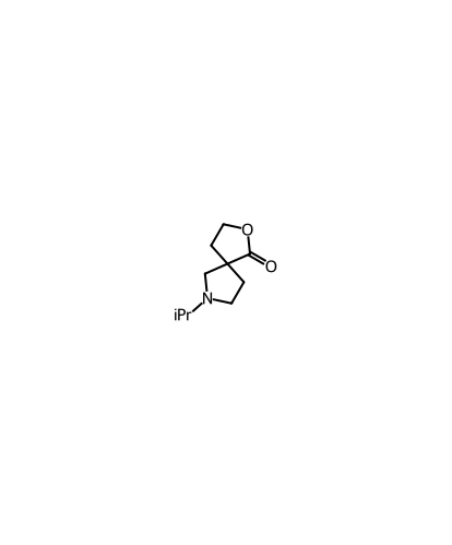 CC(C)N1CCC2(CCOC2=O)C1